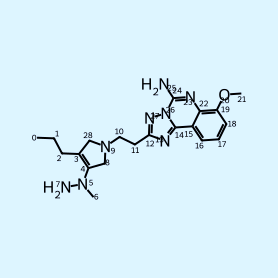 CCCC1=C(N(C)N)CN(CCc2nc3c4cccc(OC)c4nc(N)n3n2)C1